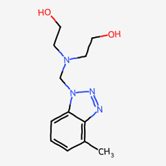 Cc1cccc2c1nnn2CN(CCO)CCO